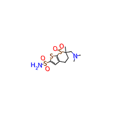 CN(C)CC1(C)CCc2cc(S(N)(=O)=O)sc2S1(=O)=O